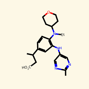 CCN(c1ccc(C(C)CC(=O)O)cc1Nc1cnc(C)nc1)C1CCOCC1